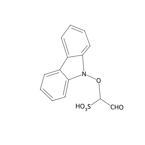 O=CC(On1c2ccccc2c2ccccc21)S(=O)(=O)O